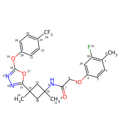 Cc1ccc(OCC(=O)NC2(C)CC(C)(c3nnc(Oc4ccc(C(F)(F)F)cc4)o3)C2)cc1F